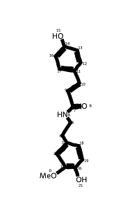 COc1cc(CCNC(=O)/C=C/c2ccc(O)cc2)ccc1O